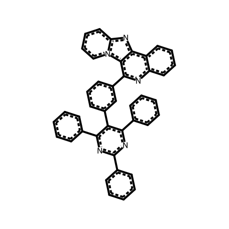 c1ccc(-c2nc(-c3ccccc3)c(-c3cccc(-c4nc5ccccc5c5nc6ccccn6c45)c3)c(-c3ccccc3)n2)cc1